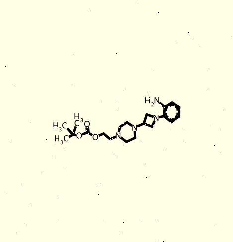 CC(C)(C)OC(=O)OCCN1CCN(C2CN(c3ccccc3N)C2)CC1